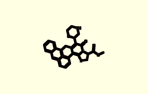 COC(=O)C1CSc2c(-c3ccccc3)c(Cc3cccc4ccccc34)c(C3CNCCO3)c(=O)n21